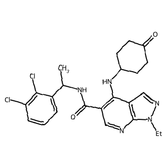 CCn1ncc2c(NC3CCC(=O)CC3)c(C(=O)NC(C)c3cccc(Cl)c3Cl)cnc21